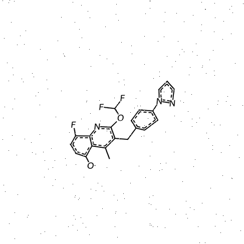 Cc1c(Cc2ccc(-n3cccn3)cc2)c(OC(F)F)nc2c(F)ccc([O])c12